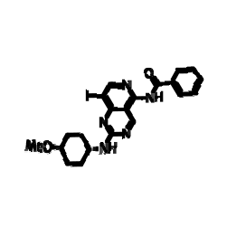 CO[C@H]1CC[C@H](Nc2ncc3c(NC(=O)c4ccccc4)ncc(I)c3n2)CC1